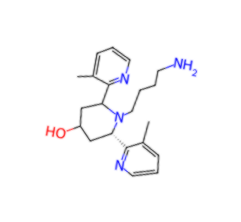 Cc1cccnc1C1CC(O)C[C@@H](c2ncccc2C)N1CCCCN